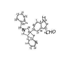 O=Cc1c[nH]c2ccc(C3(Cc4ccccn4)CCN(Cc4ccccc4)C3)cc12